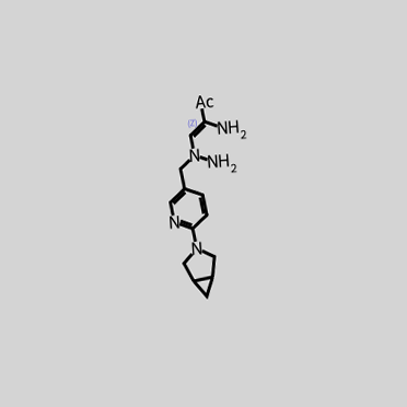 CC(=O)/C(N)=C/N(N)Cc1ccc(N2CC3CC3C2)nc1